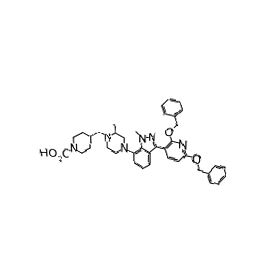 C[C@H]1CN(c2cccc3c(-c4ccc(OCc5ccccc5)nc4OCc4ccccc4)nn(C)c23)CCN1CC1CCN(C(=O)O)CC1